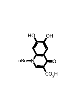 CCCCn1cc(C(=O)O)c(=O)c2cc(O)c(O)cc21